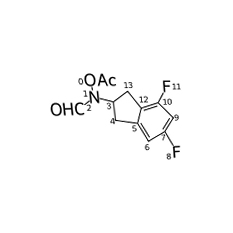 CC(=O)ON(C=O)C1Cc2cc(F)cc(F)c2C1